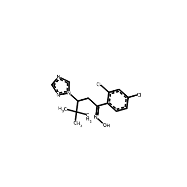 CC(C)(C)C(CC(=NO)c1ccc(Cl)cc1Cl)n1cncn1